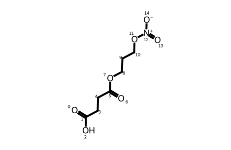 O=C(O)CCC(=O)OCCCO[N+](=O)[O-]